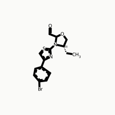 CC[C@H]1COC(C=O)N1c1nc(-c2ccc(Br)cc2)cs1